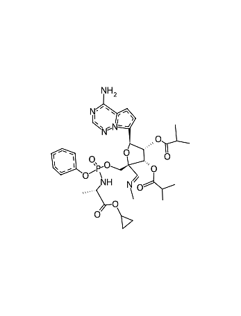 CN=C[C@]1(COP(=O)(N[C@@H](C)C(=O)OC2CC2)Oc2ccccc2)O[C@@H](c2ccc3c(N)ncnn23)[C@H](OC(=O)C(C)C)[C@@H]1OC(=O)C(C)C